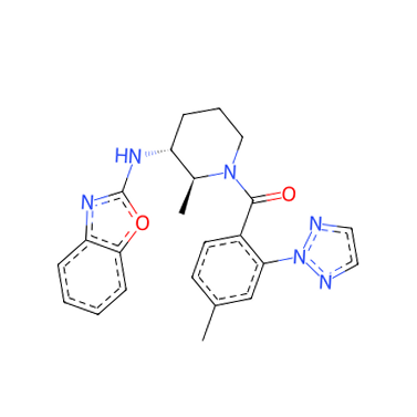 Cc1ccc(C(=O)N2CCC[C@@H](Nc3nc4ccccc4o3)[C@@H]2C)c(-n2nccn2)c1